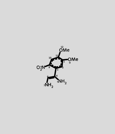 COc1cc(C(N)=CN)c([N+](=O)[O-])cc1OC